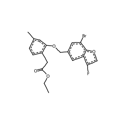 CCOC(=O)Cc1ccc(C)cc1OCc1cc(Br)c2occ(F)c2c1